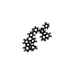 c1ccc(-c2nc(-c3cccc(-c4cccc(-c5ccc6c(c5)C5(c7ccccc7-c7ccccc75)c5ccccc5-6)c4)c3)nc(-c3cccc4ccccc34)n2)cc1